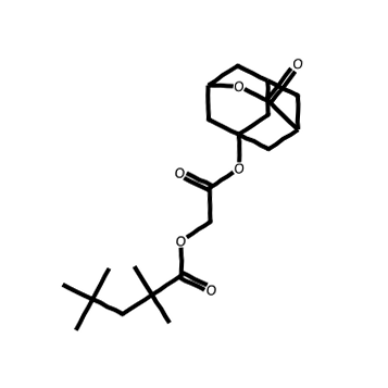 CC(C)(C)CC(C)(C)C(=O)OCC(=O)OC12CC3CC(C1)OC(=O)C(C3)C2